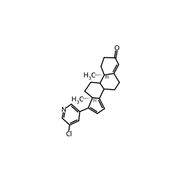 C[C@]12CCC3C(CCC4=CC(=O)CC[C@@]43C)C1=CC=C2c1cncc(Cl)c1